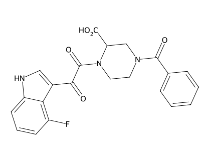 O=C(C(=O)N1CCN(C(=O)c2ccccc2)CC1C(=O)O)c1c[nH]c2cccc(F)c12